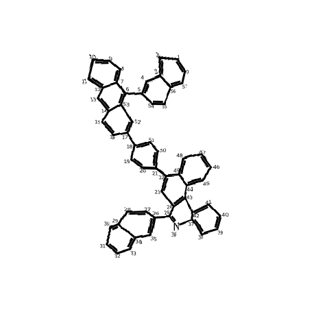 c1ccc2cc(-c3c4ccccc4cc4ccc(-c5ccc(-c6cc7c(-c8ccc9ccccc9c8)nc8ccccc8c7c7ccccc67)cc5)cc34)ccc2c1